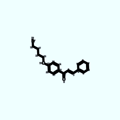 O=C(/C=C/c1ccccc1)c1ccc(OCCCCBr)cc1